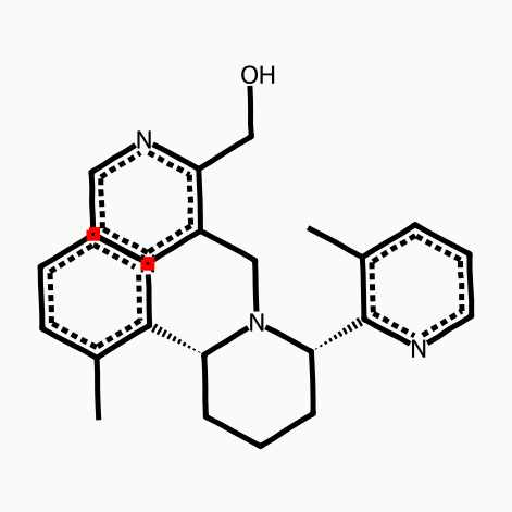 Cc1cccnc1[C@H]1CCC[C@@H](c2ncccc2C)N1Cc1cccnc1CO